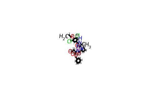 C=CCOc1c(Cl)cc(C(=O)N[C@@H](C)C(=O)N2CCC[C@H]2C(=O)NC2CC(=O)OC2OCc2ccccc2)cc1Cl